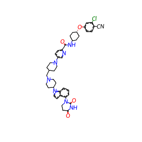 N#Cc1ccc(O[C@H]2CC[C@H](NC(=O)c3ccc(N4CCC(CN5CCC(n6ccc7c(N8CCC(=O)NC8=O)cccc76)CC5)CC4)cn3)CC2)cc1Cl